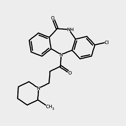 CC1CCCCN1CCC(=O)N1c2ccc(Cl)cc2NC(=O)c2ccccc21